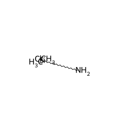 C[Si](C)(Cl)CCCCCCCCCCCCCCCCCCCN